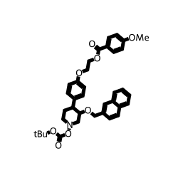 COc1ccc(C(=O)OCCOc2ccc(C3CCN(OC(=O)OC(C)(C)C)CC3OCc3ccc4ccccc4c3)cc2)cc1